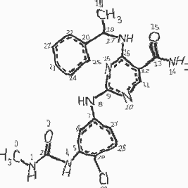 CNC(=O)Nc1cc(Nc2ncc(C(N)=O)c(NC(C)c3ccccc3)n2)ccc1Cl